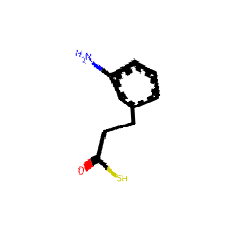 Nc1cccc(CCC(=O)S)c1